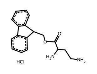 Cl.NCCC(N)C(=O)OCC1c2ccccc2-c2ccccc21